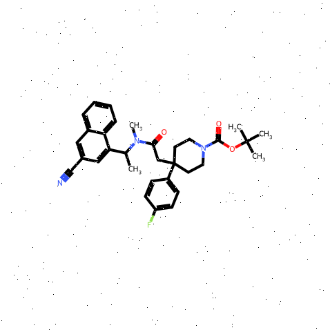 CC(c1cc(C#N)cc2ccccc12)N(C)C(=O)CC1(c2ccc(F)cc2)CCN(C(=O)OC(C)(C)C)CC1